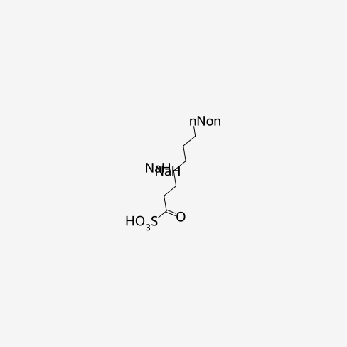 CCCCCCCCCCCCCCCC(=O)S(=O)(=O)O.[NaH].[NaH]